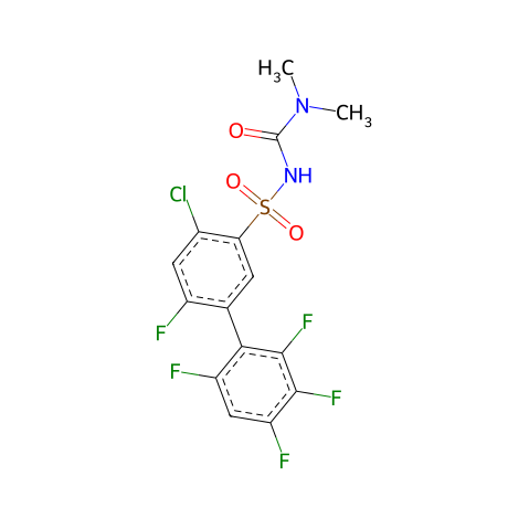 CN(C)C(=O)NS(=O)(=O)c1cc(-c2c(F)cc(F)c(F)c2F)c(F)cc1Cl